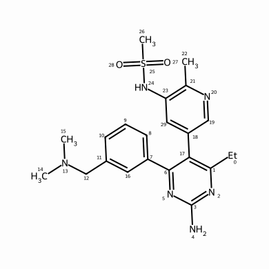 CCc1nc(N)nc(-c2cccc(CN(C)C)c2)c1-c1cnc(C)c(NS(C)(=O)=O)c1